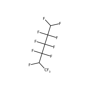 FC(F)C(F)(F)C(F)(F)C(F)(F)C(F)C(F)(F)F